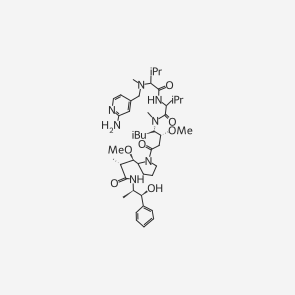 CC[C@H](C)[C@@H]([C@@H](CC(=O)N1CCCC1[C@H](OC)[C@@H](C)C(=O)N[C@H](C)[C@@H](O)c1ccccc1)OC)N(C)C(=O)C(NC(=O)C(C(C)C)N(C)Cc1ccnc(N)c1)C(C)C